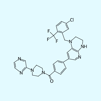 O=C(c1ccc(-c2cnc3c(c2)N(Cc2cc(Cl)ccc2C(F)(F)F)CCN3)cc1)N1CCN(c2cnccn2)CC1